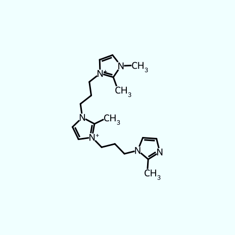 Cc1nccn1CCC[n+]1ccn(CCC[n+]2ccn(C)c2C)c1C